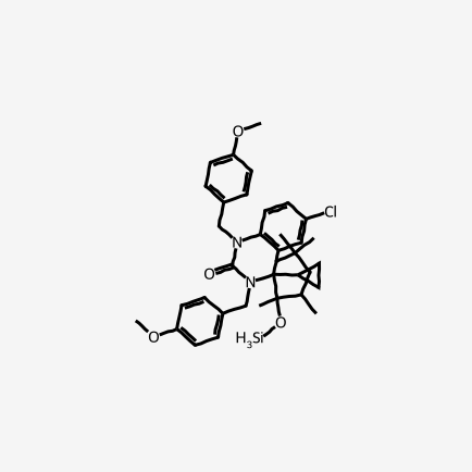 COc1ccc(CN2C(=O)N(Cc3ccc(OC)cc3)C(C3CC3)(C(C)(O[SiH3])C(C)CC(C)(C)C)c3cc(Cl)ccc32)cc1